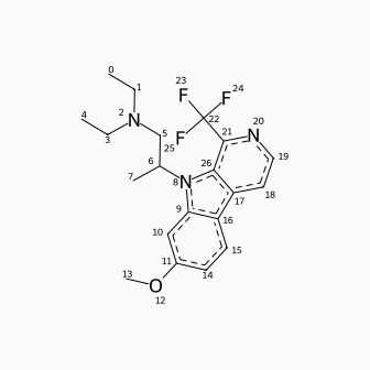 CCN(CC)CC(C)n1c2cc(OC)ccc2c2ccnc(C(F)(F)F)c21